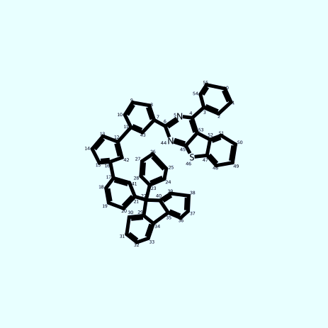 c1ccc(-c2nc(-c3cccc(-c4cccc(-c5cccc(C6(c7ccccc7)c7ccccc7-c7ccccc76)c5)c4)c3)nc3sc4ccccc4c23)cc1